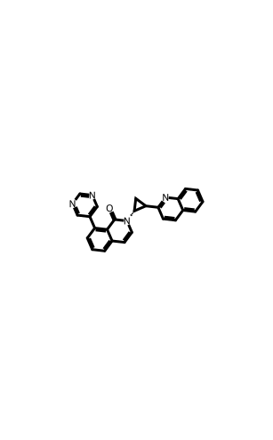 O=c1c2c(-c3cncnc3)cccc2ccn1[C@@H]1CC1c1ccc2ccccc2n1